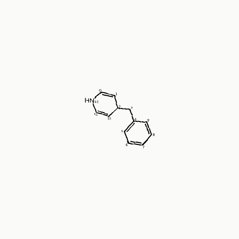 C1=CC(Cc2ccccc2)C=CN1